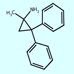 CC1(N)CC1(c1ccccc1)c1ccccc1